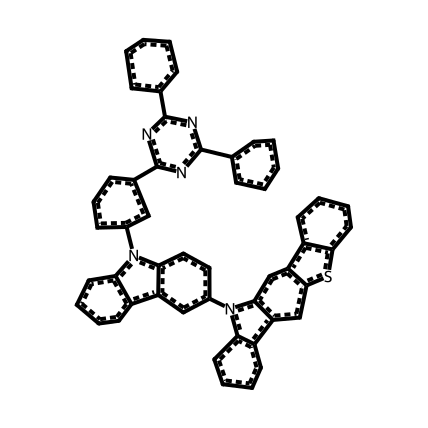 c1ccc(-c2nc(-c3ccccc3)nc(-c3cccc(-n4c5ccccc5c5cc(-n6c7ccccc7c7cc8sc9ccccc9c8cc76)ccc54)c3)n2)cc1